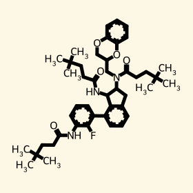 CC(C)(C)CCC(=O)Nc1cccc(-c2cccc3c2C(NC(=O)CCC(C)(C)C)C(N(CC2COc4ccccc4O2)C(=O)CCC(C)(C)C)C3)c1F